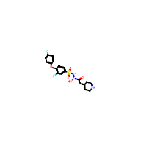 O=C(CC1CCNCC1)N(O)NS(=O)(=O)c1ccc(Oc2ccc(F)cc2)c(F)c1